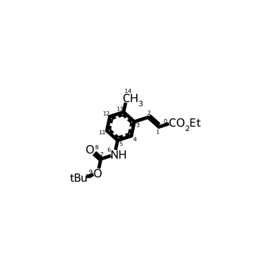 CCOC(=O)/C=C/c1cc(NC(=O)OC(C)(C)C)ccc1C